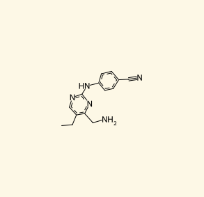 CCc1cnc(Nc2ccc(C#N)cc2)nc1CN